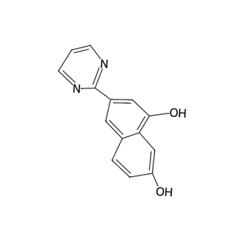 Oc1ccc2cc(-c3ncccn3)cc(O)c2c1